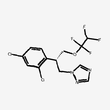 FC(F)C(F)(F)OC[C@H](Cn1cncn1)c1ccc(Cl)cc1Cl